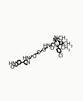 Cc1sc2c(c1C)C(c1ccc(Cl)cc1)=NC(CC(=O)NCCOCCOCCOCCNc1cc(-c3ccc4c(c3)CC(=O)N4)ccn1)c1nnc(C)n1-2